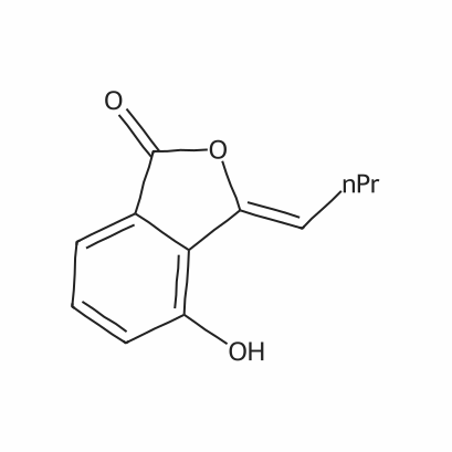 CCC/C=C1\OC(=O)c2cccc(O)c21